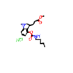 CCCCCNC(=O)Oc1cccc2c1C(CCC(=O)OC)CN2C.Cl